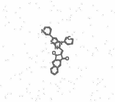 O=C1C(=Cc2nc3sc(-c4cccnc4)cc3n2-c2ccccc2)C(=O)c2cc3ccccc3cc21